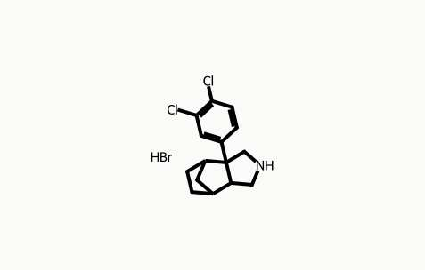 Br.Clc1ccc(C23CNCC2C2CCC3C2)cc1Cl